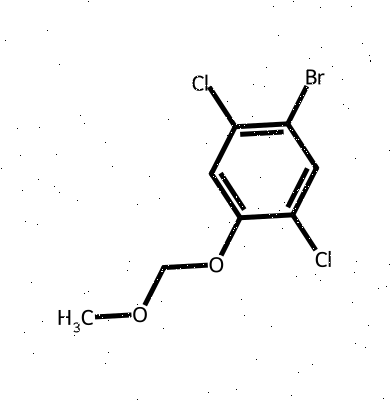 COCOc1cc(Cl)c(Br)cc1Cl